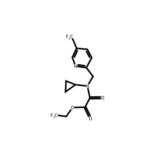 O=C(OCC(F)(F)F)C(=O)N(Cc1ccc(C(F)(F)F)cn1)C1CC1